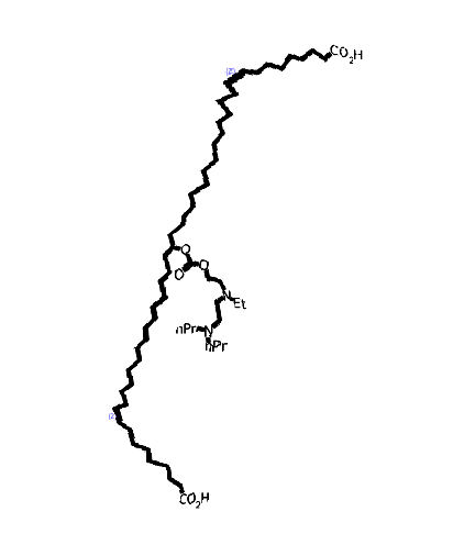 CCCN(CCC)CCN(CC)CCOC(=O)OC(CCCCCCCCCCCCCC/C=C\CCCCCCCC(=O)O)CCCCCCCCCCCCCC/C=C\CCCCCCCC(=O)O